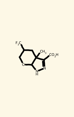 CC12CC(C(F)(F)F)COC1NN=C2C(=O)O